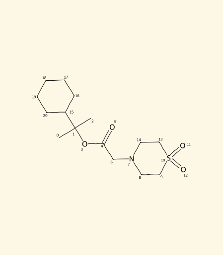 CC(C)(OC(=O)CN1CCS(=O)(=O)CC1)C1CCCCC1